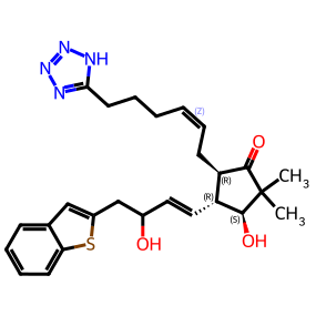 CC1(C)C(=O)[C@H](C/C=C\CCCc2nnn[nH]2)[C@@H](C=CC(O)Cc2cc3ccccc3s2)[C@@H]1O